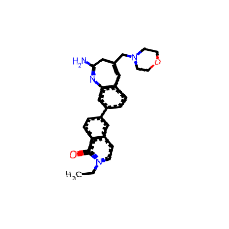 CCn1ccc2cc(-c3ccc4c(c3)N=C(N)CC(CN3CCOCC3)=C4)ccc2c1=O